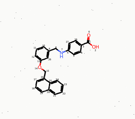 O=C(O)c1ccc(NCc2cccc(OCc3cccc4ccccc34)c2)cc1